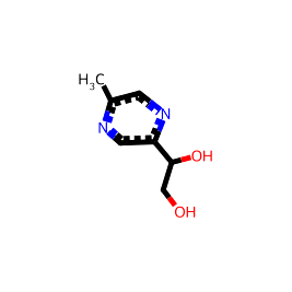 Cc1cnc(C(O)CO)cn1